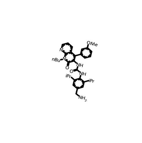 CCCCn1c(=O)c(NC(=O)Nc2c(C(C)C)cc(CN)cc2C(C)C)c(-c2cccc(OC)c2)c2cccnc21